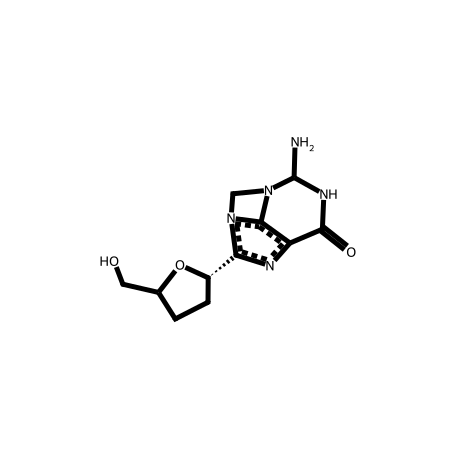 NC1NC(=O)c2nc([C@@H]3CCC(CO)O3)n3c2N1C3